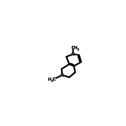 CN1C=CC2=C(C1)CN(C)CC2